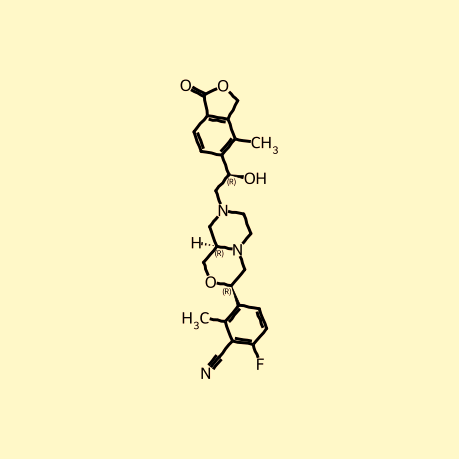 Cc1c([C@@H]2CN3CCN(C[C@H](O)c4ccc5c(c4C)COC5=O)C[C@@H]3CO2)ccc(F)c1C#N